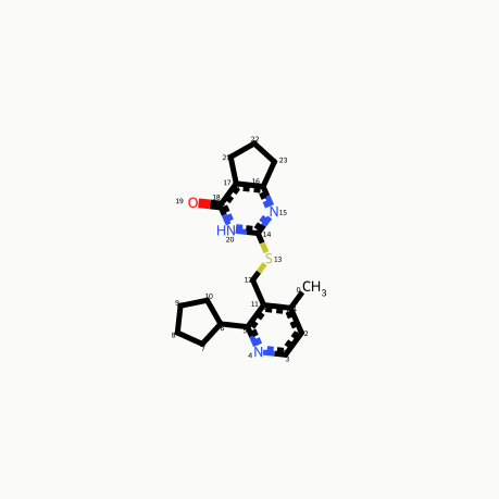 Cc1ccnc(C2CCCC2)c1CSc1nc2c(c(=O)[nH]1)CCC2